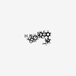 CCn1ccc(-c2cccc(Sc3cnc(N4CCC5(CC4)CO[C@@H](C)[C@H]5N)nc3)c2Cl)n1